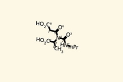 CCCNC(=O)N(C(=O)CC(=O)O)C(C)C(=O)O